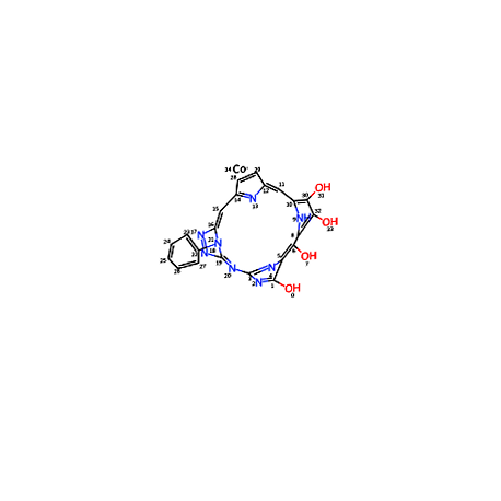 OC1=Nc2nc1c(O)c1[nH]c(cc3nc(cc4nnc(n2)n4-c2ccccc2)C=C3)c(O)c1O.[Co]